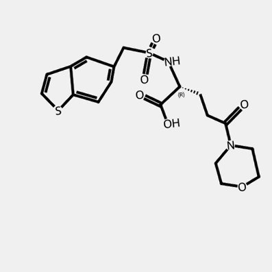 O=C(O)[C@@H](CCC(=O)N1CCOCC1)NS(=O)(=O)Cc1ccc2sccc2c1